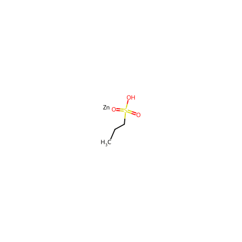 CCCS(=O)(=O)O.[Zn]